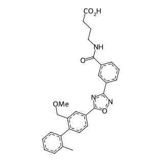 COCc1cc(-c2nc(-c3cccc(C(=O)NCCCC(=O)O)c3)no2)ccc1-c1ccccc1C